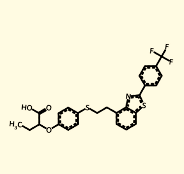 CCC(Oc1ccc(SCCc2cccc3sc(-c4ccc(C(F)(F)F)cc4)nc23)cc1)C(=O)O